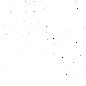 CCOC(=O)c1cnc(-c2nn(Cc3ccccc3F)c3ncc(F)cc23)nc1N